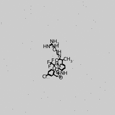 CC(C(=O)NCCONC(=N)N)c1ccc(NS(=O)(=O)Cc2cccc(Cl)c2)c(=O)n1OC(=O)C(F)(F)F